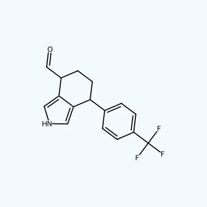 O=CC1CCC(c2ccc(C(F)(F)F)cc2)c2c[nH]cc21